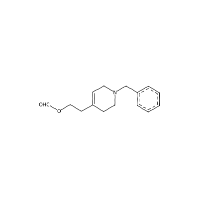 O=COCCC1=CCN(Cc2ccccc2)CC1